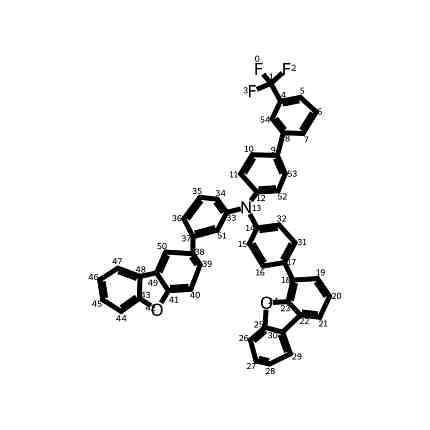 FC(F)(F)c1cccc(-c2ccc(N(c3ccc(-c4cccc5c4oc4ccccc45)cc3)c3cccc(-c4ccc5oc6ccccc6c5c4)c3)cc2)c1